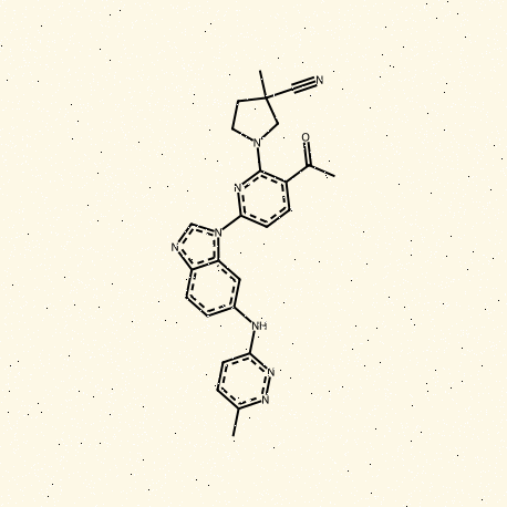 CC(=O)c1ccc(-n2cnc3ccc(Nc4ccc(C)nn4)cc32)nc1N1CCC(C)(C#N)C1